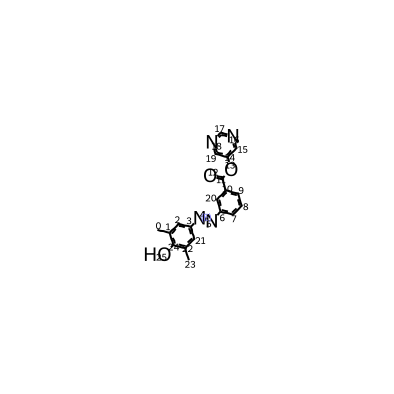 Cc1cc(/N=N/c2cccc(C(=O)Oc3cncnc3)c2)cc(C)c1O